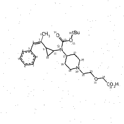 CC(=Cc1ccccc1)C1CC1N(C(=O)OC(C)(C)C)C1CCN(CCOCC(=O)O)CC1